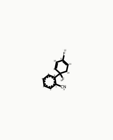 N#Cc1ccccc1C1(F)C=CC(F)=CC1